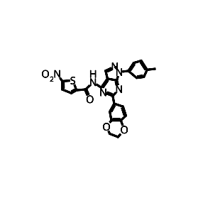 Cc1ccc(-n2ncc3c(NC(=O)c4ccc([N+](=O)[O-])s4)nc(-c4ccc5c(c4)OCCO5)nc32)cc1